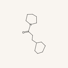 O=C(CCC1CCCCC1)N1CCCCC1